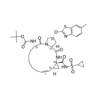 Cc1ccc2nc(O[C@@H]3C[C@H]4C(=O)N[C@]5(C(=O)NS(=O)(=O)C6CC6)C[C@H]5/C=C\CCCCC[C@H](NC(=O)OC(C)(C)C)C(=O)N4C3)sc2c1